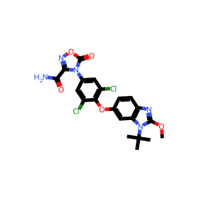 COc1nc2ccc(Oc3c(Cl)cc(-n4c(C(N)=O)noc4=O)cc3Cl)cc2n1C(C)(C)C